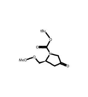 COOC[C@@H]1CC(=O)CN1C(=O)OC(C)(C)C